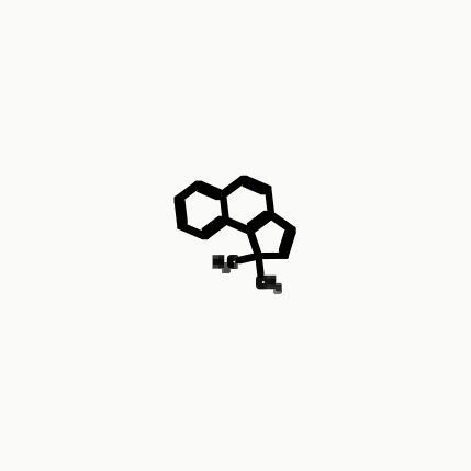 CC1(C)C=Cc2ccc3ccccc3c21